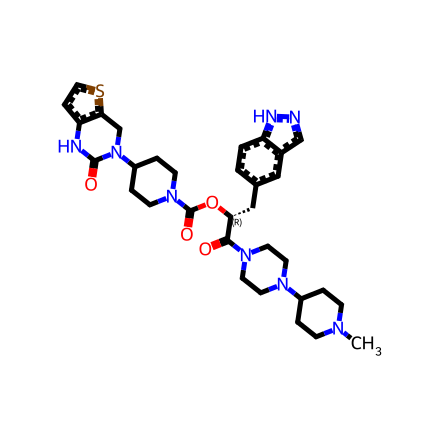 CN1CCC(N2CCN(C(=O)[C@@H](Cc3ccc4[nH]ncc4c3)OC(=O)N3CCC(N4Cc5sccc5NC4=O)CC3)CC2)CC1